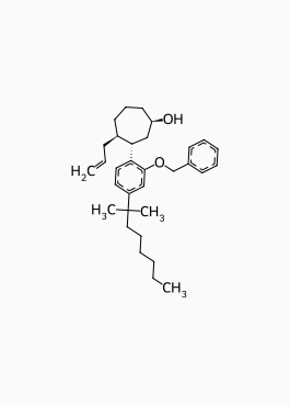 C=CC[C@H]1CCC[C@@H](O)C[C@@H]1c1ccc(C(C)(C)CCCCCC)cc1OCc1ccccc1